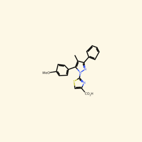 COc1ccc(-c2c(C)c(-c3ccccc3)nn2-c2nc(C(=O)O)cs2)cc1